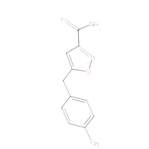 Cc1ccc(Cc2cc(C(N)=O)no2)cc1